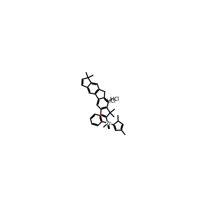 Cl.Cl.[CH2]=[Zr]([CH3])([C]1=CC(C)=CC1C)([C]1=Cc2cc3c(cc2C1(C)C)Cc1cc2c(cc1-3)C=CC2(C)C)[c]1ccccc1